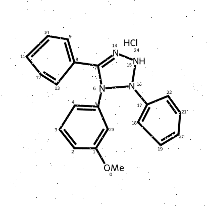 COc1cccc(N2C(c3ccccc3)=NNN2c2ccccc2)c1.Cl